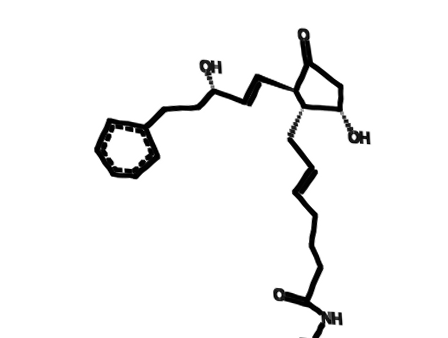 CCNC(=O)CCCC=CC[C@H]1[C@@H](O)CC(=O)[C@@H]1C=C[C@@H](O)CCc1ccccc1